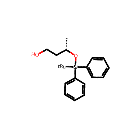 C[C@@H](CCO)O[Si](c1ccccc1)(c1ccccc1)C(C)(C)C